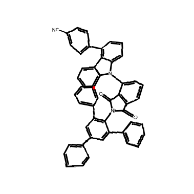 N#Cc1ccc(-c2cccc3c2c2ccccc2n3-c2cccc3c2C(=O)N(c2c(-c4ccccc4)cc(-c4ccccc4)cc2-c2ccccc2)C3=O)cc1